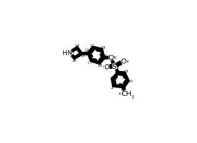 Cc1ccc(S(=O)(=O)Oc2ccc(C3CNC3)cc2)cc1